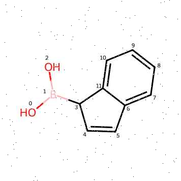 OB(O)C1C=Cc2ccccc21